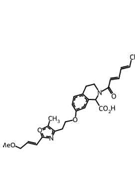 CC=CC=CC(=O)N1CCc2ccc(OCCc3nc(C=CCOC)oc3C)cc2C1C(=O)O